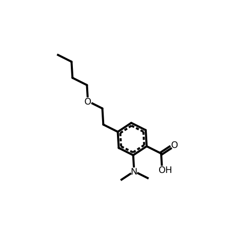 CCCCOCCc1ccc(C(=O)O)c(N(C)C)c1